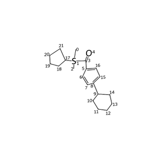 CS(C)(C(=O)c1ccc(C2CCCCC2)cc1)C1CCCC1